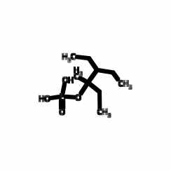 CCC(CC)C(C)(CC)OP(=O)(O)O